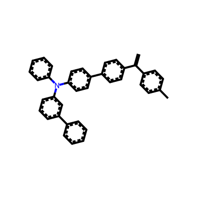 C=C(c1ccc(C)cc1)c1ccc(-c2ccc(N(c3ccccc3)c3cccc(-c4ccccc4)c3)cc2)cc1